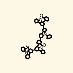 CC1(C)c2ccccc2-n2c3ccccc3c3cc(-c4cc5c6ccc(-c7ccc8c9cc(-c%10cc%11c%12ccccc%12c(=O)n%12c%13ccccc%13c(c%10)c%11%12)ccc9n(-c9ccccc9)c8c7)cc6c(=O)n6c7ccccc7c(c4)c56)cc1c32